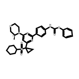 C[C@H]1COCCN1c1cc(C2(S(=O)(=O)C3CCCCC3)CC2)nc(-c2ccc(NC(=O)Oc3ccccc3)cc2)n1